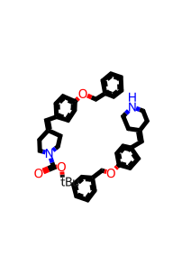 C(=C1CCNCC1)c1ccc(OCc2ccccc2)cc1.CC(C)(C)OC(=O)N1CCC(=Cc2ccc(OCc3ccccc3)cc2)CC1